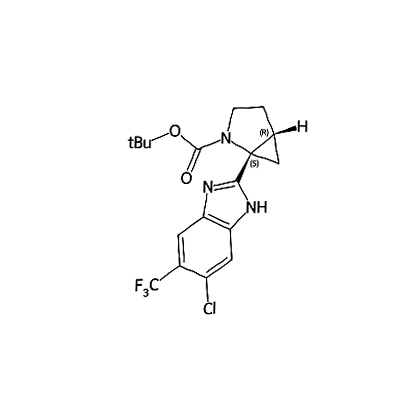 CC(C)(C)OC(=O)N1CC[C@@H]2C[C@@]21c1nc2cc(C(F)(F)F)c(Cl)cc2[nH]1